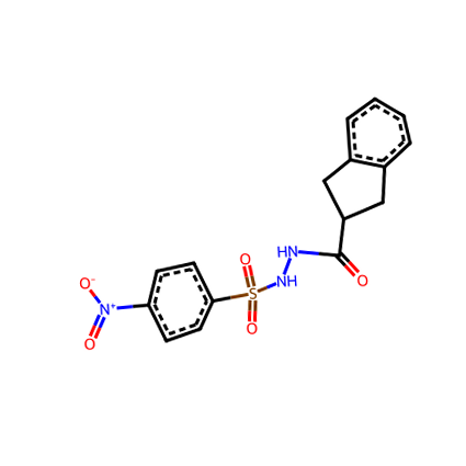 O=C(NNS(=O)(=O)c1ccc([N+](=O)[O-])cc1)C1Cc2ccccc2C1